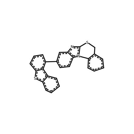 c1ccc2c(c1)CSc1nc3cc(-c4cccc5sc6ccccc6c45)ccc3n1-2